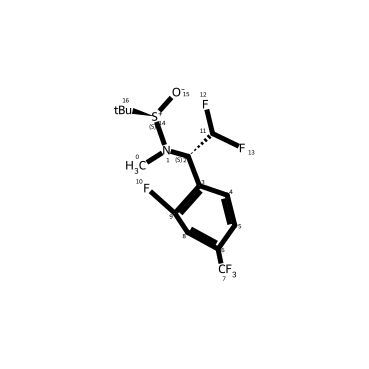 CN([C@@H](c1ccc(C(F)(F)F)cc1F)C(F)F)[S@+]([O-])C(C)(C)C